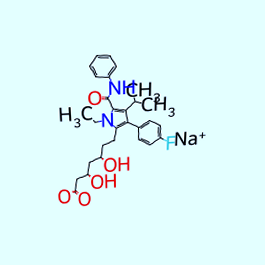 CCn1c(CC[C@@H](O)C[C@@H](O)CC(=O)[O-])c(-c2ccc(F)cc2)c(C(C)C)c1C(=O)Nc1ccccc1.[Na+]